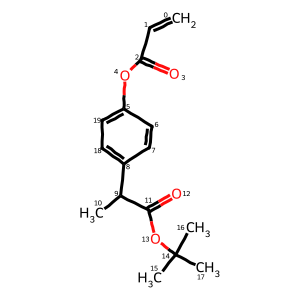 C=CC(=O)Oc1ccc(C(C)C(=O)OC(C)(C)C)cc1